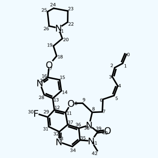 C=C/C=C\C=C/CCC1COc2c(-c3ccc(OCCCN4CCCCC4)nc3)c(F)cc3ncc4c(c23)n1c(=O)n4C